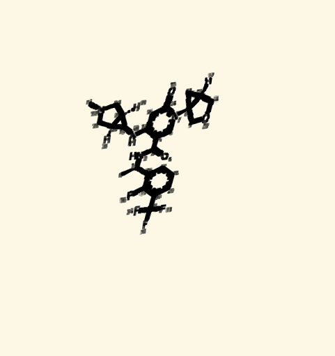 C[C@@H](NC(=O)c1cn([C@]23COC[C@H]2C3)c(=O)cc1NC1[C@H]2CN(C)C[C@@H]12)c1cccc(C(F)(F)F)c1F